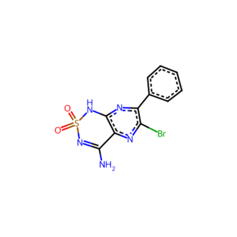 NC1=NS(=O)(=O)Nc2nc(-c3ccccc3)c(Br)nc21